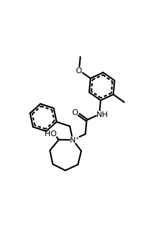 COc1ccc(C)c(NC(=O)C[N+]2(Cc3ccccc3)CCCCCC2O)c1